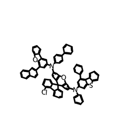 Clc1cccc2c1-c1ccccc1C21c2ccc(N(c3ccccc3)c3cc(-c4ccccc4)c4c(c3)sc3ccccc34)cc2Oc2cc(N(c3ccc(-c4ccccc4)cc3)c3cc(-c4ccc5ccccc5c4)c4oc5ccccc5c4c3)ccc21